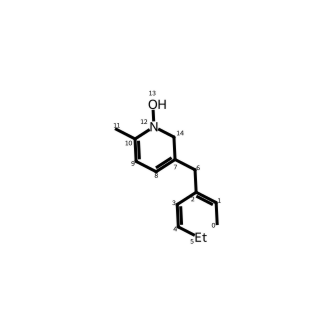 C/C=C(\C=C/CC)CC1=CC=C(C)N(O)C1